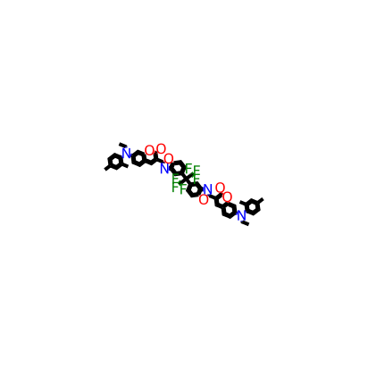 CCN(c1ccc2cc(-c3nc4cc(C(c5ccc6oc(-c7cc8ccc(N(CC)c9ccc(C)cc9C)cc8oc7=O)nc6c5)(C(F)(F)F)C(F)(F)F)ccc4o3)c(=O)oc2c1)c1ccc(C)cc1C